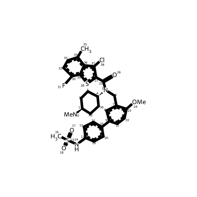 CN[C@H]1CC[C@H](N(Cc2cc(-c3ccc(NS(C)(=O)=O)cc3)ccc2OC)C(=O)c2sc3c(F)ccc(C)c3c2Cl)CC1